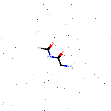 CCC(=O)NC(=O)CN